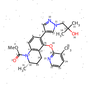 COC(=O)N1c2ccc(-c3cnn(CC(C)(C)O)c3)c(Oc3ncccc3C(F)(F)F)c2CC[C@@H]1C